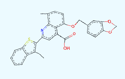 Cc1c(-c2cc(C(=O)O)c3c(OCc4ccc5c(c4)OCO5)ccc(C)c3n2)sc2ccccc12